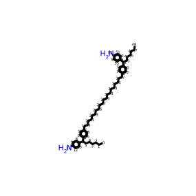 CCCCCCC(c1ccc(N)cc1)c1ccc(CCCCCCCCCCCCCCCCCCCCc2ccc(C(CCCCCC)c3ccc(N)cc3)cc2)cc1